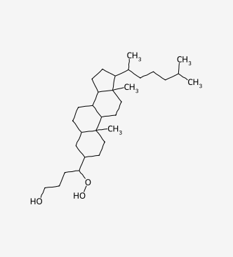 CC(C)CCCC(C)C1CCC2C3CCC4CC(C(CCCO)OO)CCC4(C)C3CCC12C